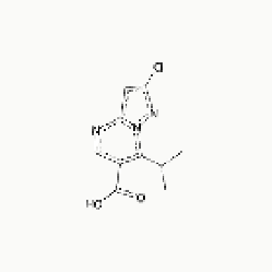 CC(C)c1c(C(=O)O)cnc2cc(Cl)nn12